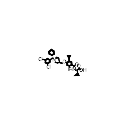 O=C(N[C@H](C(=O)O)C1CC1)c1cc(C2CC2)c(OCC2CCN([C@@H](c3ccccc3)c3cc(Cl)cc(Cl)c3)CC2)cc1F